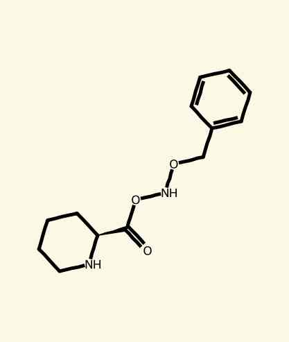 O=C(ONOCc1ccccc1)[C@@H]1CCCCN1